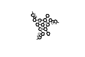 Cc1ccc2c(n1)oc1c(-c3ccc(-c4ccccc4-c4cc(-c5ccc(-c6ccccc6)cc5-c5ccc(-c6cccc7c6oc6nc(C)ccc67)nc5)cc(-c5ccc(-c6ccccc6)cc5-c5ccc(-c6cccc7c6oc6nc(C)ccc67)nc5)c4)cn3)cccc12